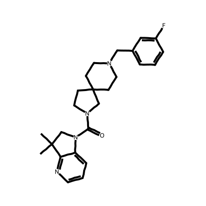 CC1(C)CN(C(=O)N2CCC3(CCN(Cc4cccc(F)c4)CC3)C2)c2cccnc21